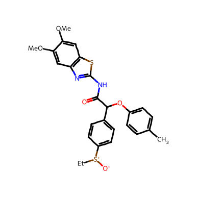 CC[S+]([O-])c1ccc(C(Oc2ccc(C)cc2)C(=O)Nc2nc3cc(OC)c(OC)cc3s2)cc1